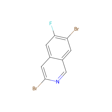 Fc1cc2cc(Br)ncc2cc1Br